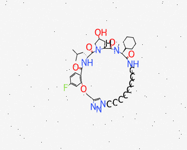 CC(C)C[C@H]1NC(=O)c2ccc(F)cc2OCc2cn(nn2)CCCCCCCCNC(=O)[C@H](C2CCCCC2)N(C)C(=O)[C@H]2C[C@H](O)CN2C1=O